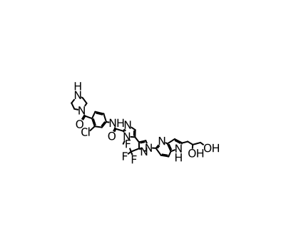 Cn1c(-c2cn(-c3ccc4[nH]c(CC(O)CO)cc4n3)nc2C(F)(F)F)cnc1C(=O)Nc1ccc(C(=O)N2CCNCC2)c(Cl)c1